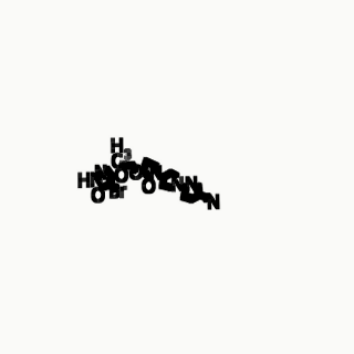 C[C@@H](CO[C@H]1CCN(C2CCN(c3ccc(C#N)cn3)CC2)C1=O)Oc1cn[nH]c(=O)c1Br